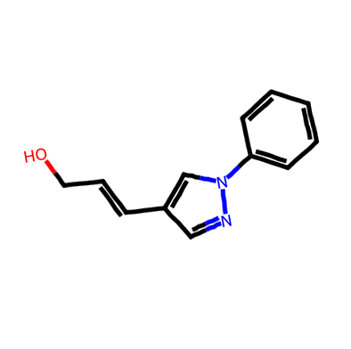 OCC=Cc1cnn(-c2ccccc2)c1